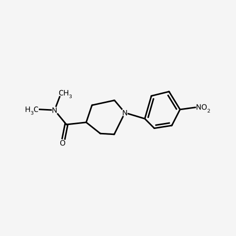 CN(C)C(=O)C1CCN(c2ccc([N+](=O)[O-])cc2)CC1